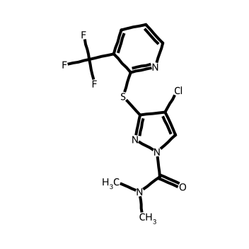 CN(C)C(=O)n1cc(Cl)c(Sc2ncccc2C(F)(F)F)n1